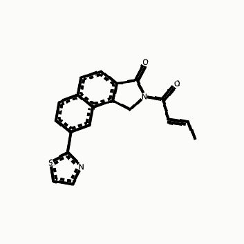 C/C=C/C(=O)N1Cc2c(ccc3ccc(-c4nccs4)cc23)C1=O